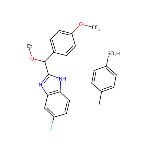 CCOC(c1ccc(OC(F)(F)F)cc1)c1nc2cc(F)ccc2[nH]1.Cc1ccc(S(=O)(=O)O)cc1